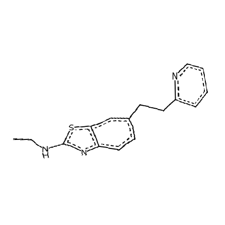 CCNc1nc2ccc(CCc3ccccn3)cc2s1